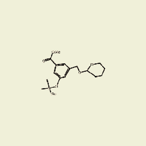 COC(=O)c1cc(COC2CCCCO2)cc(O[Si](C)(C)C(C)(C)C)c1